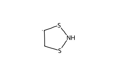 [CH]1CSNS1